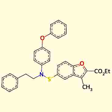 CCOC(=O)c1oc2ccc(SN(CCc3ccccc3)c3ccc(Oc4ccccc4)cc3)cc2c1C